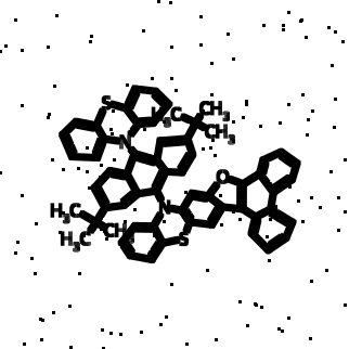 CC(C)(C)c1ccc2c(N3c4ccccc4Sc4cc5c(cc43)oc3c4ccccc4c4ccccc4c53)c3cc(C(C)(C)C)ccc3c(N3c4ccccc4Sc4ccccc43)c2c1